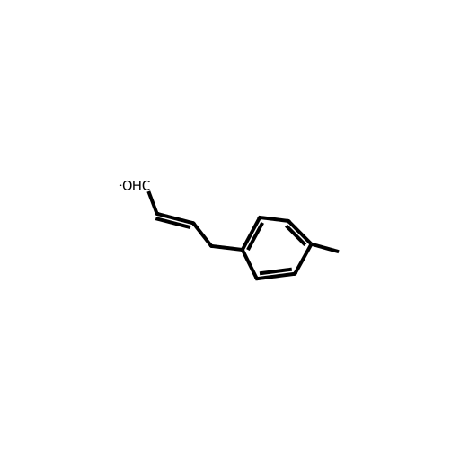 Cc1ccc(CC=C[C]=O)cc1